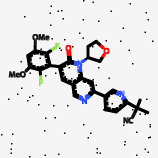 COc1cc(OC)c(F)c(-c2cc3cnc(-c4ccc(C(C)(C)C#N)nc4)cc3n([C@H]3CCOC3)c2=O)c1F